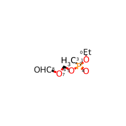 CCOP(C)(=O)OCOC=O